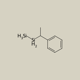 CC([SiH2][SiH3])c1ccccc1